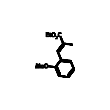 CCOC(=O)C(C)=Cc1ccccc1OC